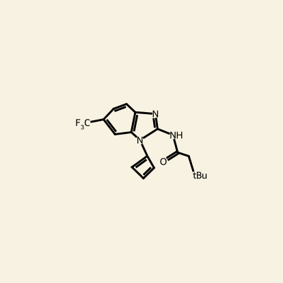 CC(C)(C)CC(=O)Nc1nc2ccc(C(F)(F)F)cc2n1C1=CC=C1